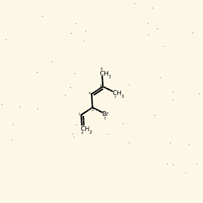 C=CC(Br)C=C(C)C